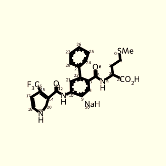 CSCCC(NC(=O)c1ccc(NC(=O)C2=C(C(F)(F)F)C=CNC2)cc1-c1ccccc1)C(=O)O.[NaH]